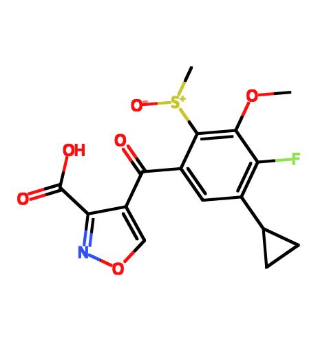 COc1c(F)c(C2CC2)cc(C(=O)c2conc2C(=O)O)c1[S+](C)[O-]